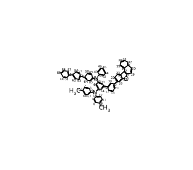 Cc1ccc(N(c2ccc(C)cc2)c2cc(-c3cccc(-c4ccc5c(c4)oc4ccc6ccccc6c45)c3)cc(N(c3ccccc3)c3ccc(-c4ccc(-c5ccccc5)cc4)cc3)c2)cc1